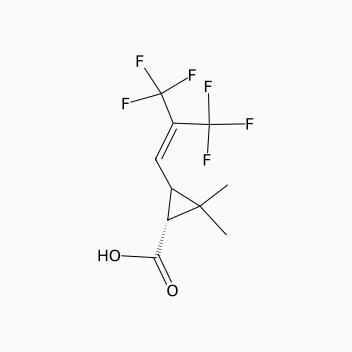 CC1(C)C(C=C(C(F)(F)F)C(F)(F)F)[C@H]1C(=O)O